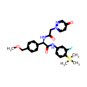 COCc1ccc([C@@H](NC(=O)Cn2ccc(=O)cn2)C(=O)Nc2ccc(S(C)(C)C)c(F)c2)cc1